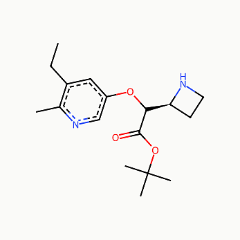 CCc1cc(OC(C(=O)OC(C)(C)C)[C@@H]2CCN2)cnc1C